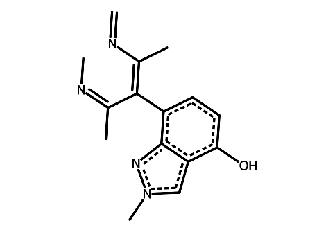 C=N/C(C)=C(\C(C)=N/C)c1ccc(O)c2cn(C)nc12